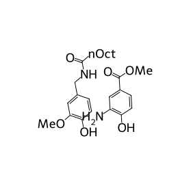 CCCCCCCCC(=O)NCc1ccc(O)c(OC)c1.COC(=O)c1ccc(O)c(N)c1